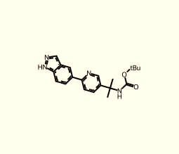 CC(C)(C)OC(=O)NC(C)(C)c1ccc(-c2ccc3[nH]ncc3c2)nc1